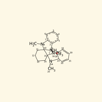 CN1c2ccccc2N(C)C12CCCCC21N(C)C2C=CC=CC2N1C